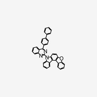 c1ccc(-c2ccc(-c3nc(-n4c5ccccc5c5c6c(ccc54)oc4ccccc46)nc4ccccc34)cc2)cc1